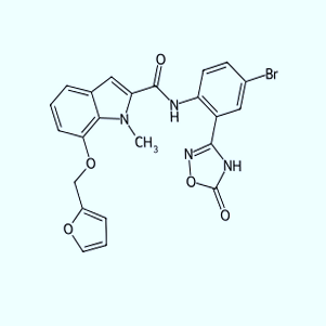 Cn1c(C(=O)Nc2ccc(Br)cc2-c2noc(=O)[nH]2)cc2cccc(OCc3ccco3)c21